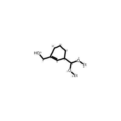 CCOC(OCC)C1C=C(CO)CCC1